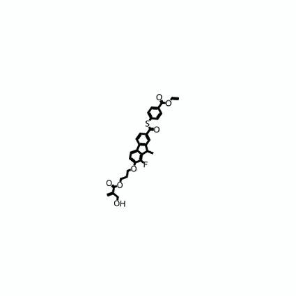 C=COC(=O)c1ccc(SC(=O)c2ccc3c(c2)C(C)c2c-3ccc(OCCCOC(=O)C(=C)CO)c2F)cc1